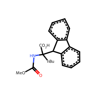 CCCCC(NC(=O)OC)(C(=O)O)C1c2ccccc2-c2ccccc21